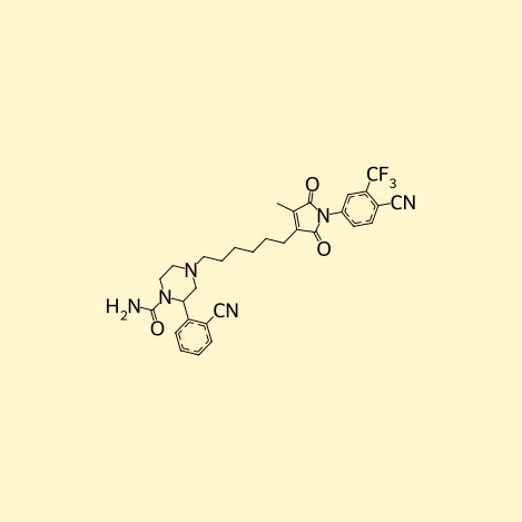 CC1=C(CCCCCCN2CCN(C(N)=O)C(c3ccccc3C#N)C2)C(=O)N(c2ccc(C#N)c(C(F)(F)F)c2)C1=O